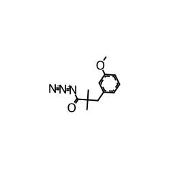 COc1cccc(CC(C)(C)C(=O)N=[N+]=[N-])c1